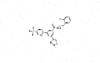 O=C(NCCc1ccccc1F)c1cc(-c2ccc(C(F)(F)F)cn2)cc(-n2cnnn2)c1